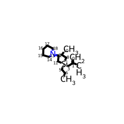 C=C(C)C[Si](CCC)(CCC)CCN1CCCCC1